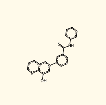 Oc1cc(-c2cccc(C(=S)Nc3ccccc3)c2)cc2cccnc12